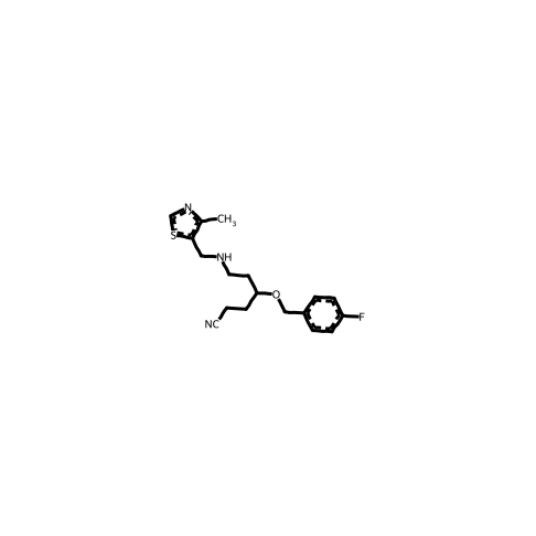 Cc1ncsc1CNCCC(CCC#N)OCc1ccc(F)cc1